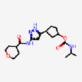 CC(C)NC(=O)OC1CCC(c2cc(NC(=O)C3CCOCC3)n[nH]2)C1